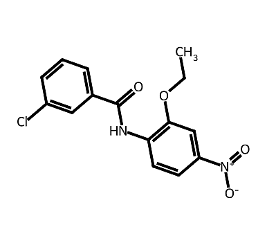 CCOc1cc([N+](=O)[O-])ccc1NC(=O)c1cccc(Cl)c1